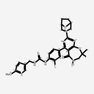 CCN1CC(C)(C)Oc2nc(N3CC4CCC(C3)O4)nc(-c3ccc(NC(=O)NCc4ccc(OC)nc4)c(F)c3)c2C1=O